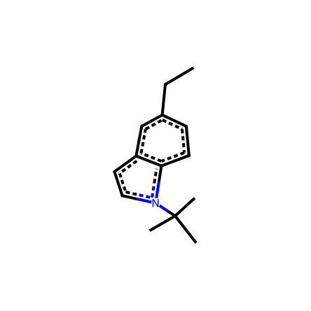 CCc1ccc2c(ccn2C(C)(C)C)c1